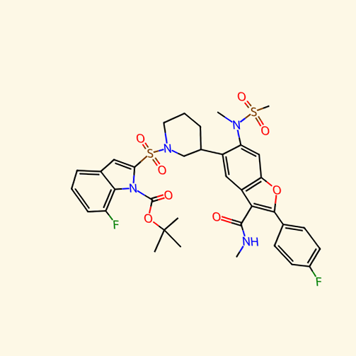 CNC(=O)c1c(-c2ccc(F)cc2)oc2cc(N(C)S(C)(=O)=O)c(C3CCCN(S(=O)(=O)c4cc5cccc(F)c5n4C(=O)OC(C)(C)C)C3)cc12